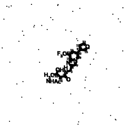 CC(=O)NC(C(=O)NCc1cn2cc(-c3ccoc3)cc(C(F)(F)F)c2n1)C(C)O